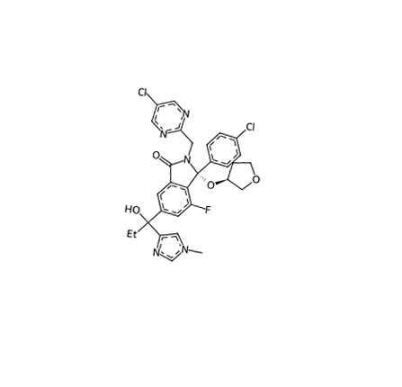 CCC(O)(c1cc(F)c2c(c1)C(=O)N(Cc1ncc(Cl)cn1)[C@@]2(O[C@H]1CCOC1)c1ccc(Cl)cc1)c1cn(C)cn1